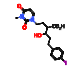 Cn1c(=O)ccn(CCC(C(=O)O)C(O)CCc2ccc(I)cc2)c1=O